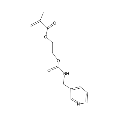 C=C(C)C(=O)OCCOC(=O)NCc1cccnc1